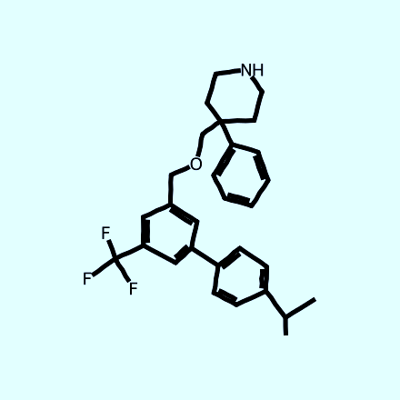 CC(C)c1ccc(-c2cc(COCC3(c4ccccc4)CCNCC3)cc(C(F)(F)F)c2)cc1